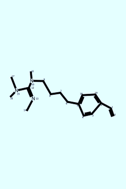 C=Cc1ccc(CCCCN(C)C(=NC)N(C)C)cc1